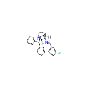 Fc1cccc(/C=N/[C@@H]2C3CCN(CC3)[C@H]2C(c2ccccc2)c2ccccc2)c1